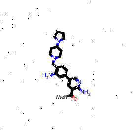 CNC(=O)c1cc(-c2ccc(CN3CCC(N4CCCC4)CC3)c(N)c2)cnc1N